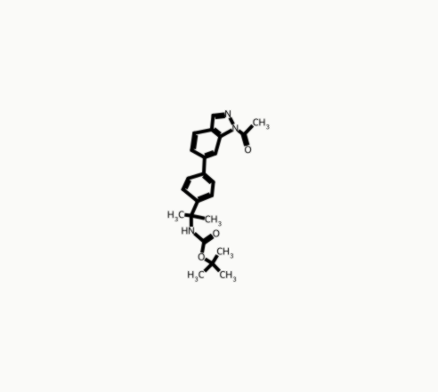 CC(=O)n1ncc2ccc(-c3ccc(C(C)(C)NC(=O)OC(C)(C)C)cc3)cc21